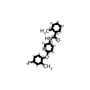 Cc1cc(F)ccc1Oc1ccc(NC(=O)c2ccccc2C)cn1